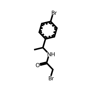 CC(NC(=O)CBr)c1ccc(Br)cc1